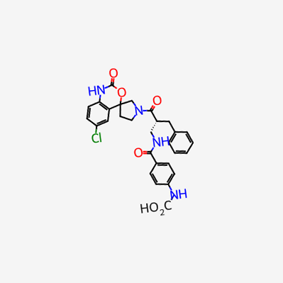 O=C(O)Nc1ccc(C(=O)NC[C@@H](Cc2ccccc2)C(=O)N2CCC3(C2)OC(=O)Nc2ccc(Cl)cc23)cc1